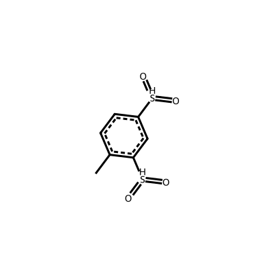 Cc1ccc([SH](=O)=O)cc1[SH](=O)=O